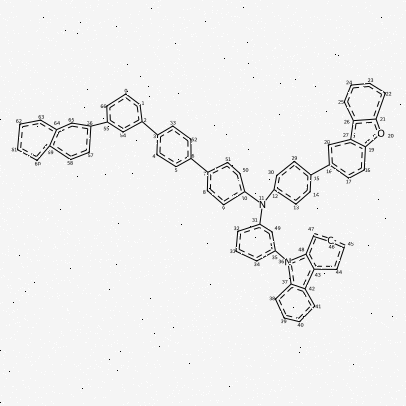 c1cc(-c2ccc(-c3ccc(N(c4ccc(-c5ccc6oc7ccccc7c6c5)cc4)c4cccc(-n5c6ccccc6c6ccccc65)c4)cc3)cc2)cc(-c2ccc3ccccc3c2)c1